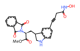 COC(=O)[C@H](CC1CNc2ccc(C#CCC(=O)NO)cc21)N1C(=O)c2ccccc2C1=O